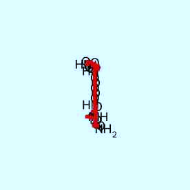 CCCn1/c(=N/C(=O)c2cccc(C(N)=O)c2)[nH]c2cc(/C=C/C(=O)NCCCOCCOCCOCCOCCOCCCNc3cccc4c3C(=O)N(C3CCC(=O)NC3=O)C4=O)ccc21